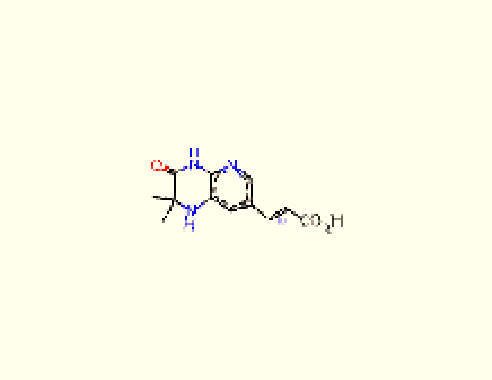 CC1(C)Nc2cc(/C=C/C(=O)O)cnc2NC1=O